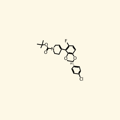 CC(C)(C)OC(=O)N1CC=C(c2c(F)ccc3c2OC[C@@H](c2ccc(Cl)cc2)O3)CC1